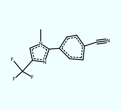 Cn1cc(C(F)(F)F)nc1-c1ccc(C#N)cc1